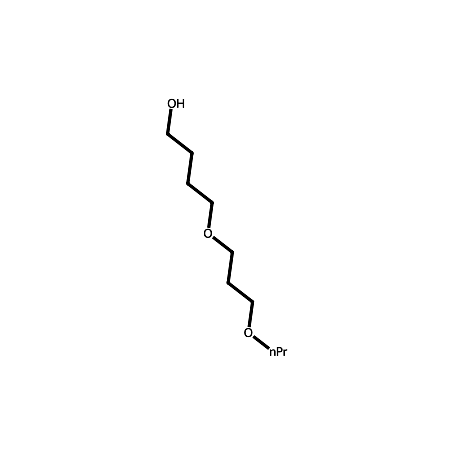 CCCOCCCOCCCCO